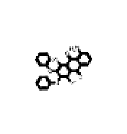 CC(C)c1c(Oc2ccccc2)c(Oc2ccccc2)c(C(C)C)c2c1C(=O)c1cccc(N)c1C2=O